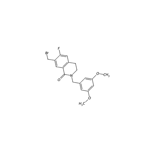 COc1cc(CN2CCc3cc(F)c(CBr)cc3C2=O)cc(OC)c1